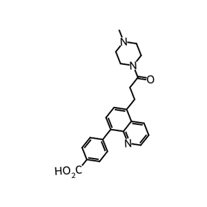 CN1CCN(C(=O)CCc2ccc(-c3ccc(C(=O)O)cc3)c3ncccc23)CC1